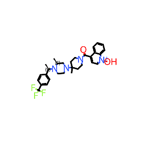 C[C@H](c1ccc(C(F)(F)F)cc1)N1CCN(C2(C)CCN(C(=O)c3cc[n+](O)c4ccccc34)CC2)C[C@@H]1C